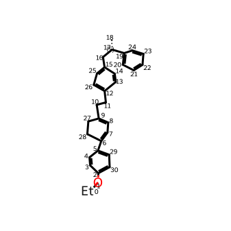 CCOc1ccc(C2=CC=C(CCc3ccc(C[C@H](C)c4ccccc4)cc3)CC2)cc1